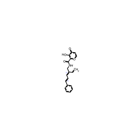 C=C/C(=C\C=C\c1ccccc1)CNC(=O)c1occc(=O)c1O